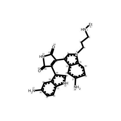 CCNCCCn1cc(C2=C(c3c[nH]c4ccc(N)cc34)C(=O)NC2=O)c2cc(N)ccc21